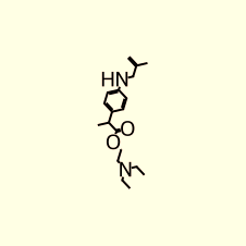 C=C(C)CNc1ccc(C(C)C(=O)OCCN(CC)CC)cc1